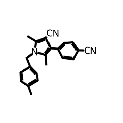 Cc1ccc(Cn2c(C)c(C#N)c(-c3ccc(C#N)cc3)c2C)cc1